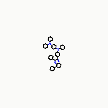 c1ccc(-c2nc3c(-c4ccccc4)cccc3nc2-c2ccc(N(c3ccccc3)c3ccc(N(c4ccccc4)c4ccccc4)cc3)cc2)cc1